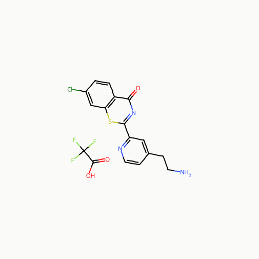 NCCc1ccnc(-c2nc(=O)c3ccc(Cl)cc3s2)c1.O=C(O)C(F)(F)F